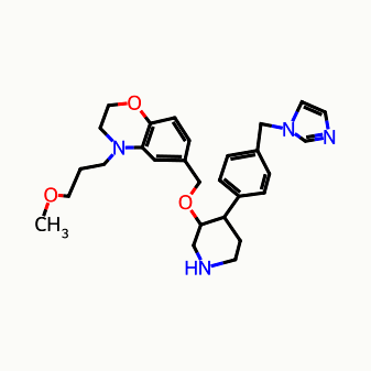 COCCCN1CCOc2ccc(COC3CNCCC3c3ccc(Cn4ccnc4)cc3)cc21